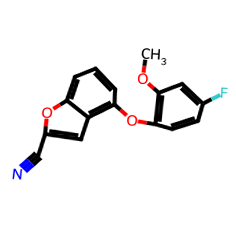 COc1cc(F)ccc1Oc1cccc2oc(C#N)cc12